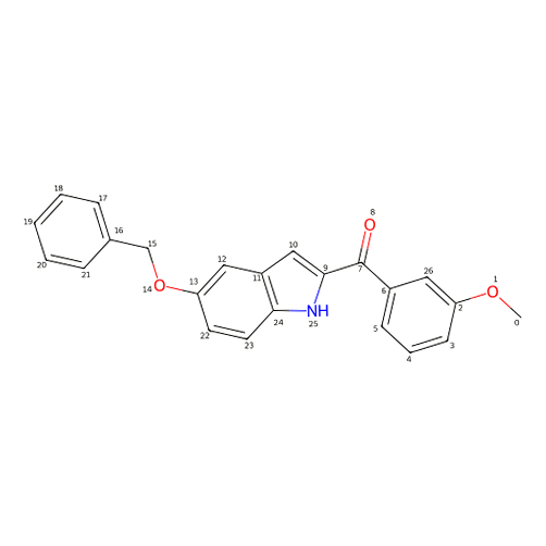 COc1cccc(C(=O)c2cc3cc(OCc4ccccc4)ccc3[nH]2)c1